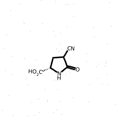 N#CC1C[C@@H](C(=O)O)NC1=O